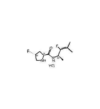 CC(C)=C(F)[C@@H](C)NC(=O)[C@@H]1C[C@@H](F)CN1.Cl